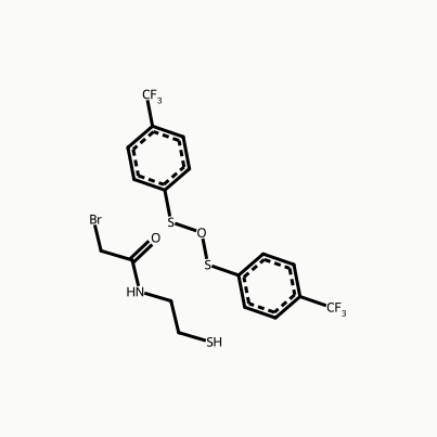 FC(F)(F)c1ccc(SOSc2ccc(C(F)(F)F)cc2)cc1.O=C(CBr)NCCS